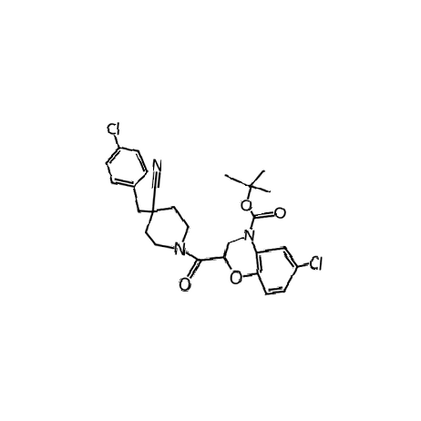 CC(C)(C)OC(=O)N1CC(C(=O)N2CCC(C#N)(Cc3ccc(Cl)cc3)CC2)Oc2ccc(Cl)cc21